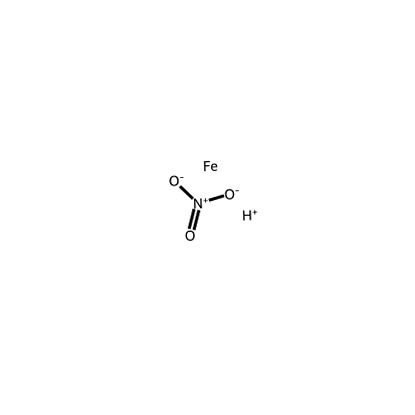 O=[N+]([O-])[O-].[Fe].[H+]